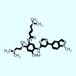 COc1cc(N(C)CCN(C)C)c(NC(=O)/C=C/CN(C)C)cc1Nc1cc(-c2ccc3c(cnn3C)c2)ncn1